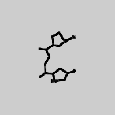 CC(=O)N1CCC(C(C)CCC(C)C2CC(F)CN2)C1